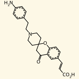 Nc1ccc(CCN2CCC3(CC2)CC(=O)c2cc(C=CC(=O)O)ccc2O3)cc1